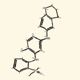 CP(C)(=O)c1ccccc1Nc1nc(Nc2ccc3c(c2)CCCN3)ncc1Cl